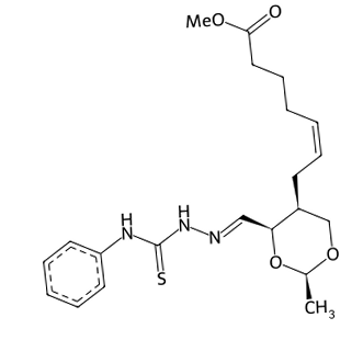 COC(=O)CCC/C=C\C[C@H]1CO[C@@H](C)O[C@H]1C=NNC(=S)Nc1ccccc1